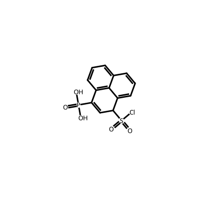 O=P(O)(O)C1=CC(S(=O)(=O)Cl)c2cccc3cccc1c23